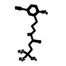 CC(C)(C)CCC(=O)NCCCc1cc(C#N)ccc1N